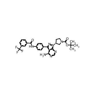 CC(C)(C)OC(=O)N1CC[C@H](n2nc(-c3ccc(NC(=O)c4cccc(C(F)(F)F)c4)cc3)c3c(N)ncnc32)C1